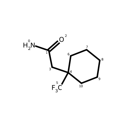 NC(=O)CC1(C(F)(F)F)CCCCC1